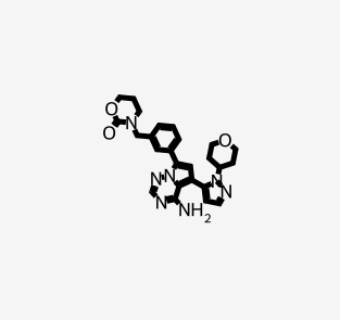 Nc1ncnn2c(-c3cccc(CN4CCCOC4=O)c3)cc(-c3ccnn3C3CCOCC3)c12